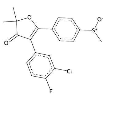 C[S+]([O-])c1ccc(C2=C(c3ccc(F)c(Cl)c3)C(=O)C(C)(C)O2)cc1